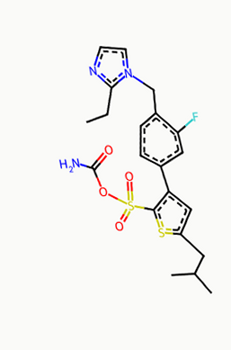 CCc1nccn1Cc1ccc(-c2cc(CC(C)C)sc2S(=O)(=O)OC(N)=O)cc1F